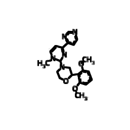 COc1cccc(OC)c1C1CN(C2N=C(c3ccncn3)C=CN2C)CCO1